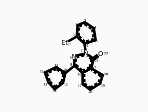 CCc1ccccc1-n1nc(-c2ccccc2)c2ccccc2c1=O